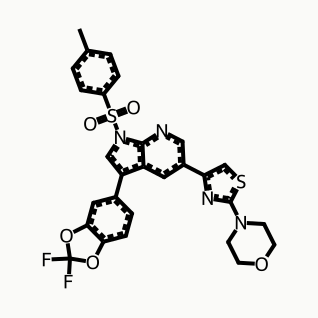 Cc1ccc(S(=O)(=O)n2cc(-c3ccc4c(c3)OC(F)(F)O4)c3cc(-c4csc(N5CCOCC5)n4)cnc32)cc1